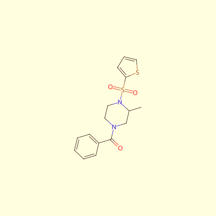 CC1CN(C(=O)c2ccccc2)CCN1S(=O)(=O)c1cccs1